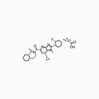 C[C@@H]1c2ccccc2CCN1C(=O)c1cc(C2CC2)c2c(n1)nc(-c1ccc([C@@H]3C[C@H]3C(=O)O)cc1F)n2C